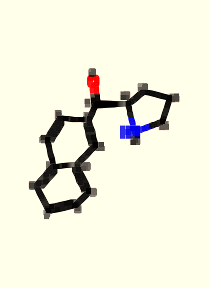 O=C(c1ccc2ccccc2c1)[C@H]1CCCN1